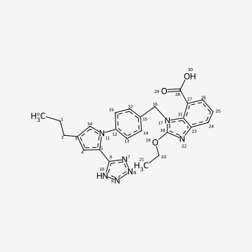 CCCc1cc(-c2nnn[nH]2)n(-c2ccc(Cn3c(OCC)nc4cccc(C(=O)O)c43)cc2)c1